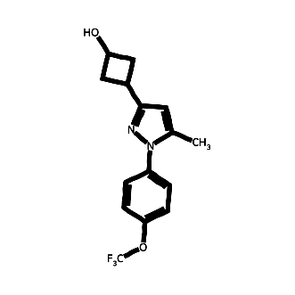 Cc1cc(C2CC(O)C2)nn1-c1ccc(OC(F)(F)F)cc1